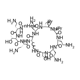 CCCCCCC(=O)N[C@@H](CCN)C(=O)N[C@H](C(=O)N[C@@H](CCN)C(=O)N[C@H]1CCNC(=O)[C@H]([C@@H](C)O)NC(=O)[C@H](CCN)NC(=O)[C@H](CCN)NC(=O)[C@H](C(C)C)NC(=O)[C@@H](CC(C)C)NC(=O)[C@H](CCN)NC1=O)[C@@H](C)O